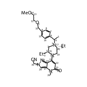 CC[C@H]1CN(C(C)c2ccc(COCCOC)cc2)[C@H](CC)CN1c1cc(=O)n(C)c2cn(CC#N)nc12